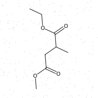 CCOC(=O)C(C)CC(=O)OC